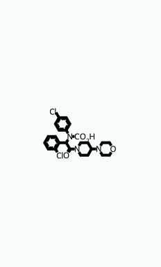 O=C(C(c1ccccc1Cl)N(C(=O)O)c1ccc(Cl)cc1)N1CCC(N2CCOCC2)CC1